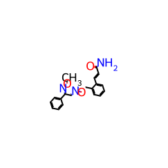 CON=C(C=NOCc1ccccc1C=CC(N)=O)c1ccccc1